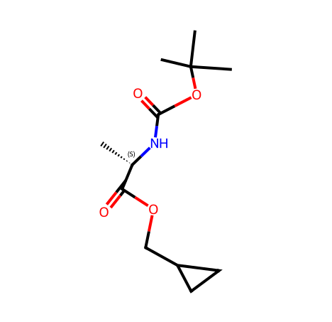 C[C@H](NC(=O)OC(C)(C)C)C(=O)OCC1CC1